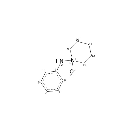 [O-][N+]1(Nc2ccccc2)CCCCC1